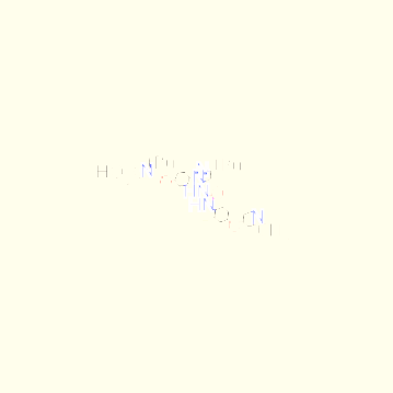 Cc1cc(Oc2ccc(NC(=O)Nc3cc(C(C)(C)C)nn3-c3ccc(OCCN(C(=O)O)C(C)(C)C)cc3)c(F)c2)ccn1